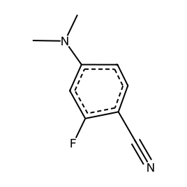 CN(C)c1ccc(C#N)c(F)c1